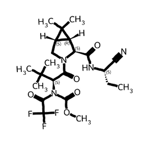 CC[C@@H](C#N)NC(=O)[C@@H]1[C@@H]2[C@H](CN1C(=O)[C@@H](N(C(=O)OC)C(=O)C(F)(F)F)C(C)(C)C)C2(C)C